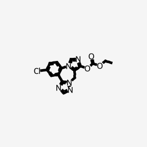 CCOC(=O)Oc1ncn2c1Cn1ncnc1-c1cc(Cl)ccc1-2